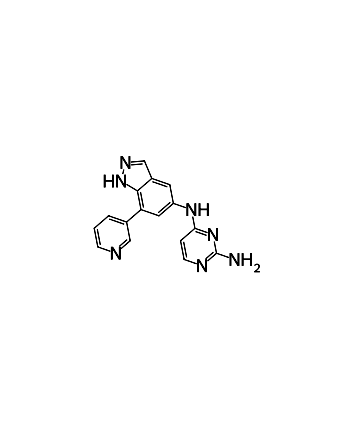 Nc1nccc(Nc2cc(-c3cccnc3)c3[nH]ncc3c2)n1